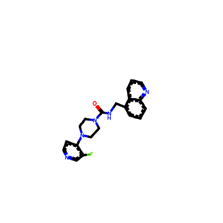 O=C(NCc1cccc2ncccc12)N1CCN(c2ccncc2F)CC1